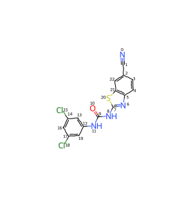 N#Cc1ccc2nc(NC(=O)Nc3cc(Cl)cc(Cl)c3)sc2c1